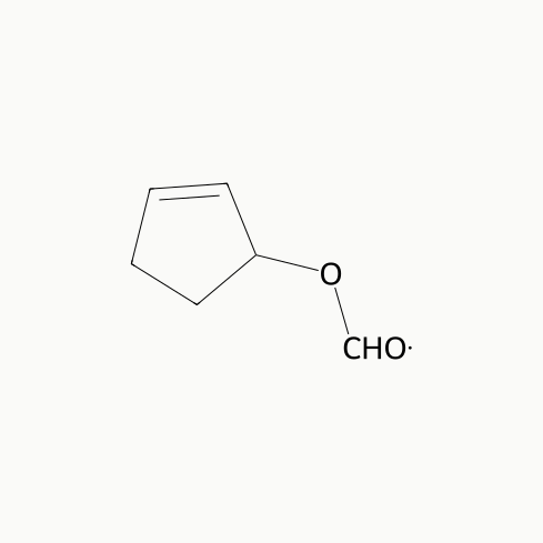 O=[C]OC1C=CCC1